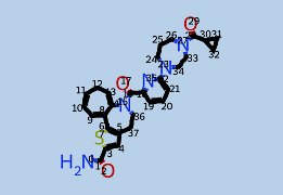 NC(=O)c1cc2c(s1)C1=CC=CCC=C1N(C(=O)c1cccc(N3CCCN(C(=O)C4CC4)CC3)n1)CC2